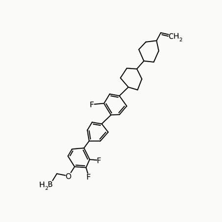 BCOc1ccc(-c2ccc(-c3ccc(C4CCC(C5CCC(C=C)CC5)CC4)cc3F)cc2)c(F)c1F